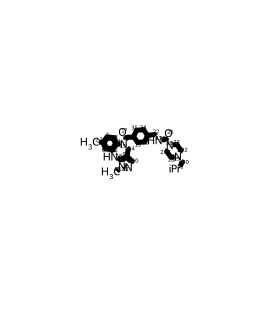 Cc1ccc2c(c1)Nc1c(cnn1C)CN2C(=O)C1CCC(CNC(=O)N2CCN(CC(C)C)CC2)CC1